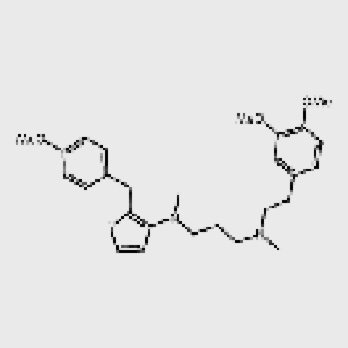 COc1ccc(Cc2sccc2N(C)CCCN(C)CCc2ccc(OC)c(OC)c2)cc1